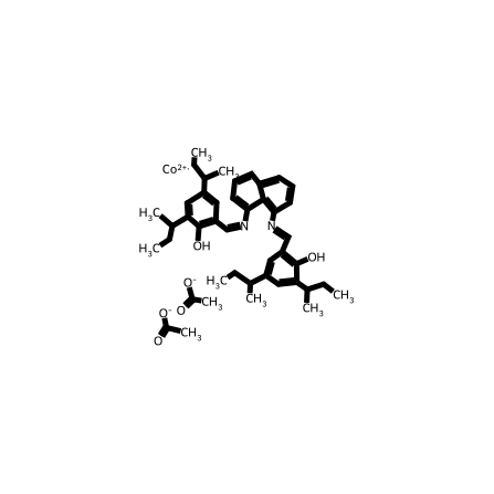 CC(=O)[O-].CC(=O)[O-].CCC(C)c1cc(C=Nc2cccc3cccc(N=Cc4cc(C(C)CC)cc(C(C)CC)c4O)c23)c(O)c(C(C)CC)c1.[Co+2]